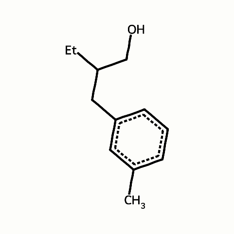 CCC(CO)Cc1cccc(C)c1